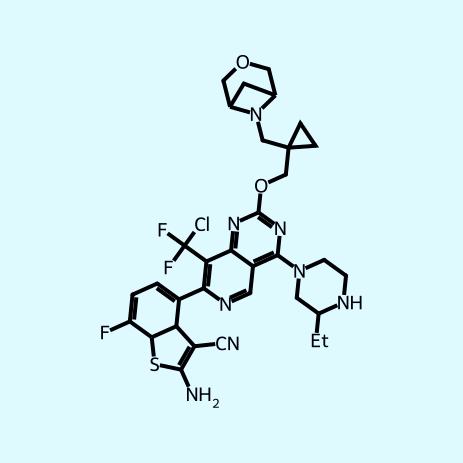 CCC1CN(c2nc(OCC3(CN4C5COCC4C5)CC3)nc3c(C(F)(F)Cl)c(C4=CC=C(F)C5SC(N)=C(C#N)C45)ncc23)CCN1